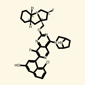 Oc1cc(-c2ncc3c(N4CC5CCC(C4)N5)nc(OC[C@]45C[C@H](F)CN4[C@H]4CCCC[C@H]4C5)nc3c2F)c2c(Cl)cccc2c1